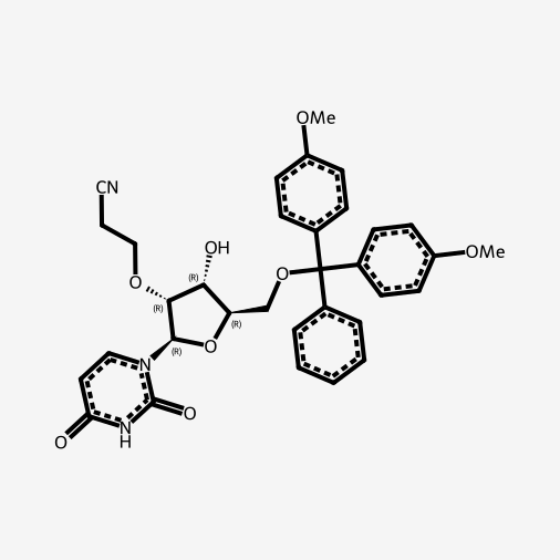 COc1ccc(C(OC[C@H]2O[C@@H](n3ccc(=O)[nH]c3=O)[C@H](OCCC#N)[C@@H]2O)(c2ccccc2)c2ccc(OC)cc2)cc1